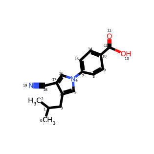 CC(C)Cc1cn(-c2ccc(C(=O)O)cc2)cc1C#N